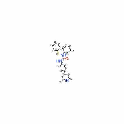 Cc1cc(-c2ccc(NC(=O)Nc3ccccc3C3=CC=CCC3=S)cc2)ccn1